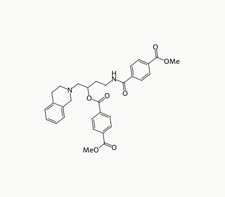 COC(=O)c1ccc(C(=O)NCCC(CN2CCc3ccccc3C2)OC(=O)c2ccc(C(=O)OC)cc2)cc1